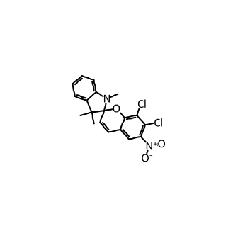 CN1c2ccccc2C(C)(C)C12C=Cc1cc([N+](=O)[O-])c(Cl)c(Cl)c1O2